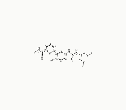 CCCC(CCC)NC(=O)Oc1ccc(F)c(-c2cccc(C(=O)NC)c2)c1